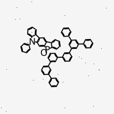 O=P1(c2cc(-c3cccc(-c4ccccc4)c3)cc(-c3cccc(-c4cc(-c5ccccc5)cc(-c5ccccc5)c4)c3)c2)c2ccccc2-c2cc3c4ccccc4n(-c4ccccc4)c3cc21